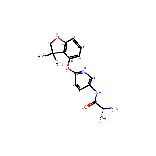 C[C@@H](N)C(=O)Nc1ccc(Oc2cccc3c2C(C)(C)CO3)nc1